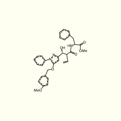 C=CC(C(=O)NC(Cc1ccccc1)C(=O)OC)[C@H](O)c1cc(OCc2ccc(OC)cc2)n(-c2ccccc2)n1